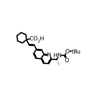 C[C@@H](NC(=O)OC(C)(C)C)c1ccc2ccc(/C=C/C3(C(=O)O)CCCCC3)cc2n1